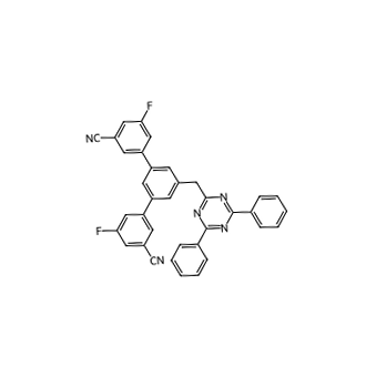 N#Cc1cc(F)cc(-c2cc(Cc3nc(-c4ccccc4)nc(-c4ccccc4)n3)cc(-c3cc(F)cc(C#N)c3)c2)c1